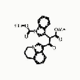 COC(=O)C(C(=O)c1cn2c3c(cccc13)CCC2)c1cn(C(=O)OC(C)(C)C)c2ccccc12